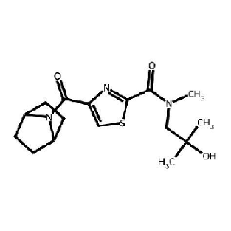 CN(CC(C)(C)O)C(=O)c1nc(C(=O)N2C3CCC2CC3)cs1